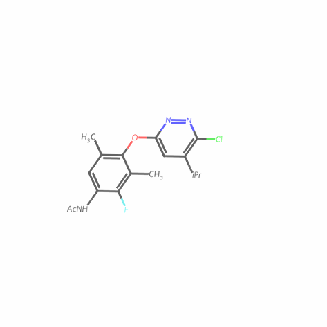 CC(=O)Nc1cc(C)c(Oc2cc(C(C)C)c(Cl)nn2)c(C)c1F